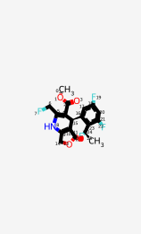 COC(=O)C1=C(CF)NC2=C(C(=O)OC2)[C@@H]1c1cc(F)cc(F)c1[C@@H](C)F